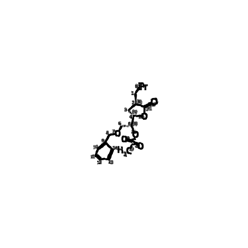 CC(C)C[C@@H]1C[C@@H]([C@@H](COCc2ccccc2)OS(C)(=O)=O)OC1=O